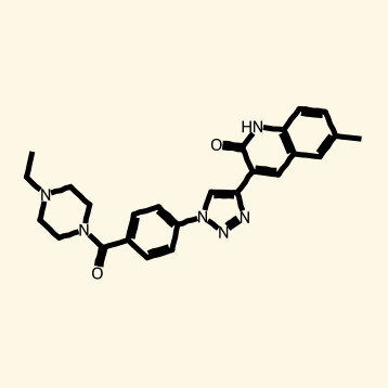 CCN1CCN(C(=O)c2ccc(-n3cc(-c4cc5cc(C)ccc5[nH]c4=O)nn3)cc2)CC1